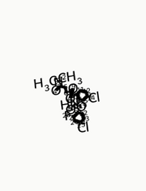 CN(C)C(=O)CCS(=O)(=O)c1ccc(Cl)cc1NS(=O)(=O)c1ccc(Cl)cc1F